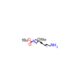 COC1(C#C/C=C/CN)CN(C(=O)OC(C)(C)C)C1